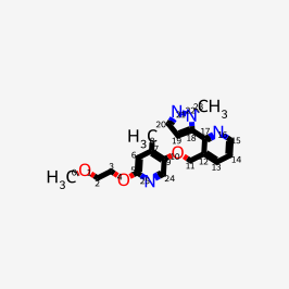 COCCOc1cc(C)c(OCc2cccnc2-c2ccnn2C)cn1